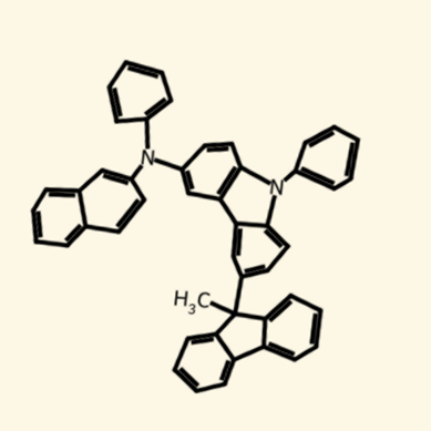 CC1(c2ccc3c(c2)c2cc(N(c4ccccc4)c4ccc5ccccc5c4)ccc2n3-c2ccccc2)c2ccccc2-c2ccccc21